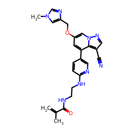 C=C(C)C(=O)NCCNc1ccc(-c2cc(OCc3cn(C)cn3)cn3ncc(C#N)c23)cn1